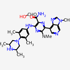 CNc1nc(Nc2cc(C)c(N3C[C@@H](C)N[C@@H](C)C3)c(C)c2)c(C(N)=O)nc1-c1cncc2c1ncn2C.O=CO